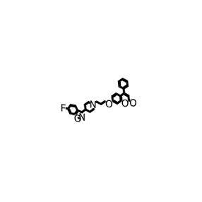 O=c1cc(-c2ccccc2)c2ccc(OCCCN3CCC(c4noc5cc(F)ccc45)CC3)cc2o1